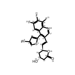 CC(C)c1csc(-c2c(C=C[C@@H]3C[C@@H](O)CC(=O)O3)cnc3c(F)c(F)c(F)cc23)c1